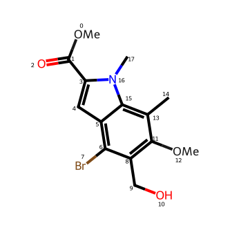 COC(=O)c1cc2c(Br)c(CO)c(OC)c(C)c2n1C